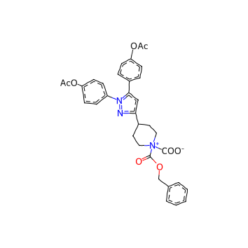 CC(=O)Oc1ccc(-c2cc(C3CC[N+](C(=O)[O-])(C(=O)OCc4ccccc4)CC3)nn2-c2ccc(OC(C)=O)cc2)cc1